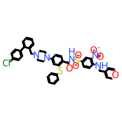 O=C(NS(=O)(=O)c1ccc(NCC2=CCOC=C2)c([N+](=O)[O-])c1)c1ccc(N2CCN(Cc3ccccc3-c3ccc(Cl)cc3)CC2)cc1Sc1ccccc1